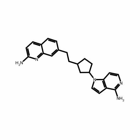 Nc1ccc2ccc(CCC3CCC(n4ccc5c(N)nccc54)C3)cc2n1